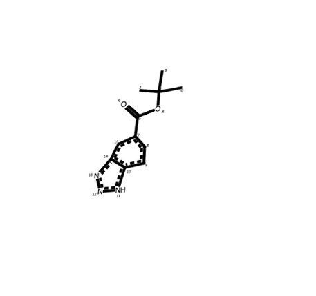 CC(C)(C)OC(=O)c1ccc2[nH]nnc2c1